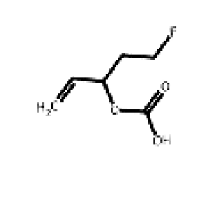 C=CC(CCF)OC(=O)O